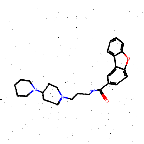 O=C(NCCCN1CCC(N2CCCCC2)CC1)c1ccc2oc3ccccc3c2c1